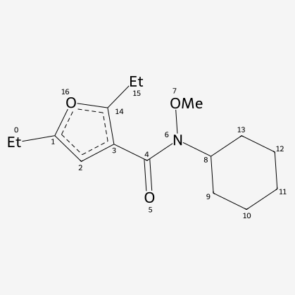 CCc1cc(C(=O)N(OC)C2CCCCC2)c(CC)o1